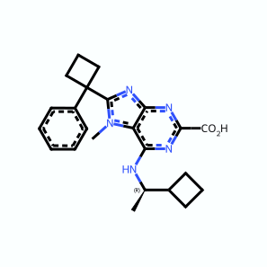 C[C@@H](Nc1nc(C(=O)O)nc2nc(C3(c4ccccc4)CCC3)n(C)c12)C1CCC1